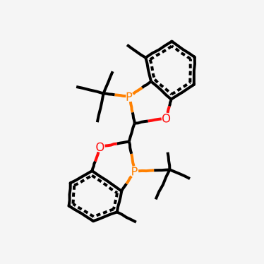 Cc1cccc2c1P(C(C)(C)C)C(C1Oc3cccc(C)c3P1C(C)(C)C)O2